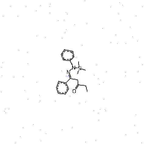 CCC(=O)C/C(=N\N(c1ccccc1)[Si](C)(C)C)c1ccccc1